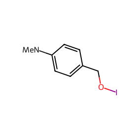 CNc1ccc(COI)cc1